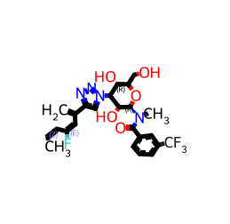 C=C(/C=C(F)\C=C/C)c1cn(C2C(O)[C@H](N(C)C(=O)c3cccc(C(F)(F)F)c3)OC(CO)[C@@H]2O)nn1